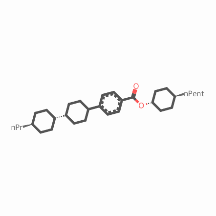 CCCCC[C@H]1CC[C@H](OC(=O)c2ccc(C3CCC([C@H]4CC[C@H](CCC)CC4)CC3)cc2)CC1